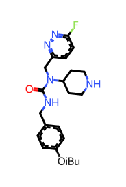 CC(C)COc1ccc(CNC(=O)N(Cc2ccc(F)nn2)C2CCNCC2)cc1